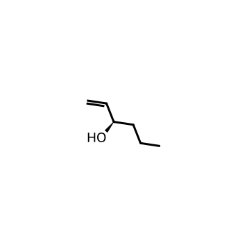 C=C[C@H](O)CCC